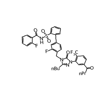 CCCCc1nn(-c2cc(C(=O)CCC)ccc2C(F)(F)F)c(=O)n1Cc1ccc(-c2ccccc2S(=O)(=O)NC(=O)c2ccccc2F)cc1F